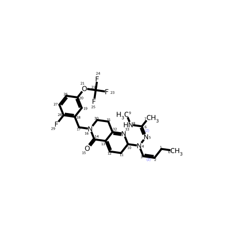 CC/C=C\N(/N=C(/C)NC)C1CC=C2C(=O)N(Cc3cc(OC(F)(F)F)ccc3F)CCC2=N1